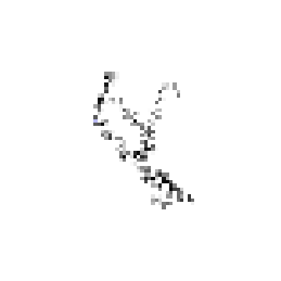 CCCCCCCC/C=C\CCCCCCCC(=O)OCC(COC(=O)CCC(OCCCCCCCC)OCCCCCCCC)COC(=O)c1ccc(CN(CC)CC)cc1